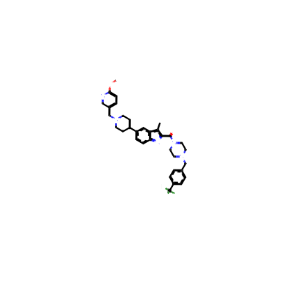 COC1=CC=C(CN2CCC(c3ccc4[nH]c(C(=O)N5CCN(Cc6ccc(C(F)(F)F)cc6)CC5)c(C)c4c3)CC2)CN1